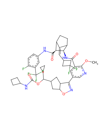 COc1ncc(C2=NOC3CC(C(OC(=O)NC4CCC4)C4CC4)CC23)cc1C(=O)N[C@@H]1C2CCC(/C2=C/C2CC(F)(F)C2)[C@@H]1C(=O)Nc1ccc(F)c(C(F)(F)F)c1